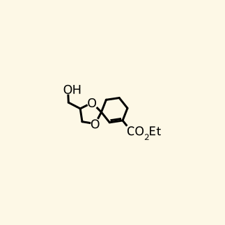 CCOC(=O)C1=CC2(CCC1)OCC(CO)O2